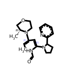 C/C=C(\C=C(/NC=O)N1CCCC1c1ccccn1)N1CCOC[C@H]1C